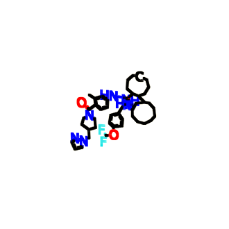 Cc1cc(NC2NCC34CCCCCCCC(C3)C3CCCCCCCC3C23NCC(c2ccc(OC(F)F)cc2)N43)ccc1C(=O)N1CCC(Cn2cccn2)CC1